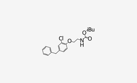 CCC(C)OC(=O)NCCOc1ccc(Cc2ccccc2)cc1Cl